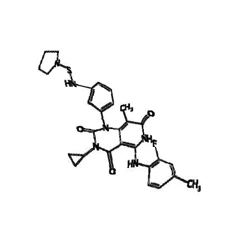 Cc1ccc(Nc2[nH]c(=O)c(C)c3c2c(=O)n(C2CC2)c(=O)n3-c2cccc(NSN3CCCC3)c2)c(F)c1